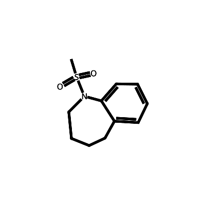 CS(=O)(=O)N1CCCCc2ccccc21